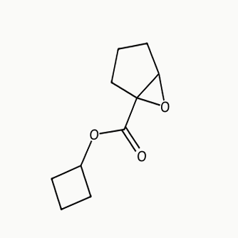 O=C(OC1CCC1)C12CCCC1O2